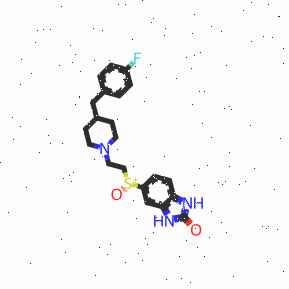 O=c1[nH]c2ccc([S+]([O-])CCN3CCC(Cc4ccc(F)cc4)CC3)cc2[nH]1